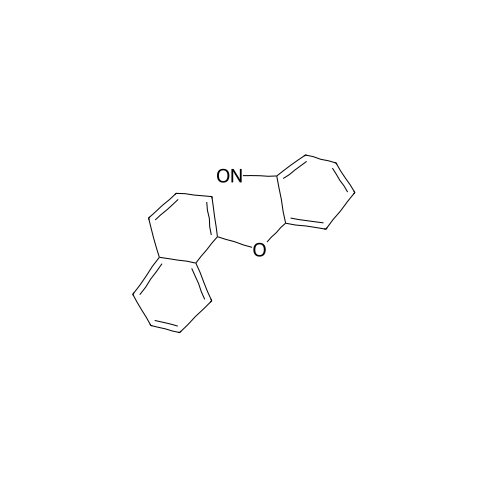 O=Nc1ccccc1Oc1cccc2ccccc12